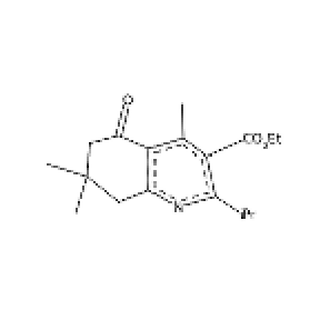 CCOC(=O)c1c(C(C)C)nc2c(c1C)C(=O)CC(C)(C)C2